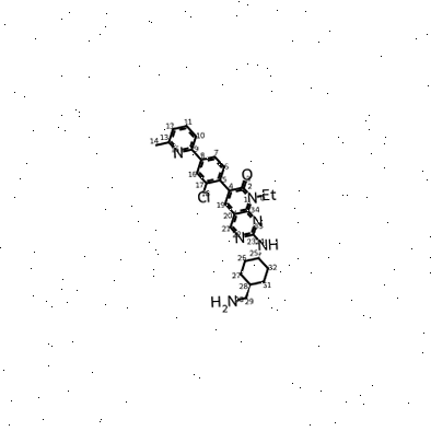 CCn1c(=O)c(-c2ccc(-c3cccc(C)n3)cc2Cl)cc2cnc(N[C@H]3CC[C@H](CN)CC3)nc21